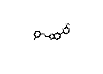 Cc1cccc(OCc2nc3ccc(-c4ccnc(N)n4)cc3s2)c1